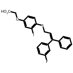 O=C(O)COc1ccc(SCC=C(c2ccccc2)c2cccc(F)c2)c(I)c1